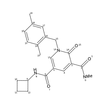 CNC(=O)c1cc(C(=O)NC2CCC2)cn(Cc2cc(C)ccc2C)c1=O